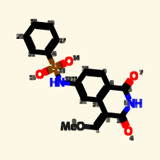 CO/C=C1/C(=O)NC(=O)c2ccc(NS(=O)(=O)c3ccccc3)cc21